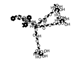 CC(=O)N[C@H]1[C@H](OCCOCCOCCNC(=O)CCOCC(COCCC(=O)NCCOCCOCCOC2O[C@H](CO)[C@H](O)[C@H](O)[C@H]2NC(C)=O)(COCCC(=O)NCCOCCOCCO[C@@H]2O[C@H](CO)[C@H](O)[C@H](O)[C@H]2NC(C)=O)NC(=O)CNC(=O)c2ccccc2S(=O)(=O)N(CC(=O)N2CCN(Cc3ccccc3)CC2)c2cccc(C)c2C)O[C@H](CO)[C@H](O)[C@@H]1O